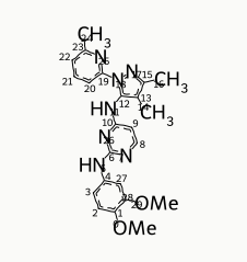 COc1ccc(Nc2nccc(Nc3c(C)c(C)nn3-c3cccc(C)n3)n2)cc1OC